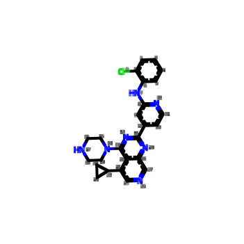 Clc1ccccc1Nc1cc(-c2nc(N3CCNCC3)c3c(C4CC4)cncc3n2)ccn1